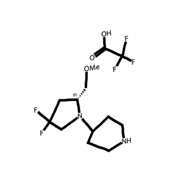 COC[C@H]1CC(F)(F)CN1C1CCNCC1.O=C(O)C(F)(F)F